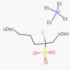 CCCCCCCCCCCCCC(F)(CCCCCCCCCCC)S(=O)(=O)[O-].CC[N+](CC)(CC)CC